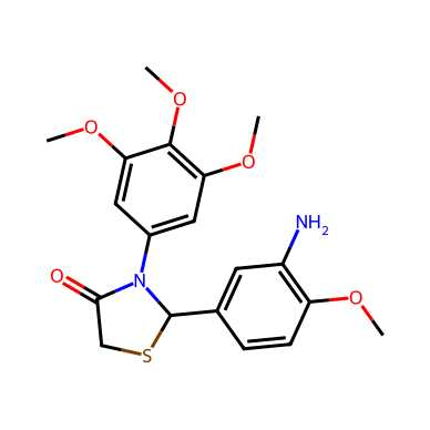 COc1ccc(C2SCC(=O)N2c2cc(OC)c(OC)c(OC)c2)cc1N